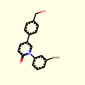 CC(=O)Nc1cccc(-n2cc(-c3ccc(CO)cc3)ccc2=O)c1